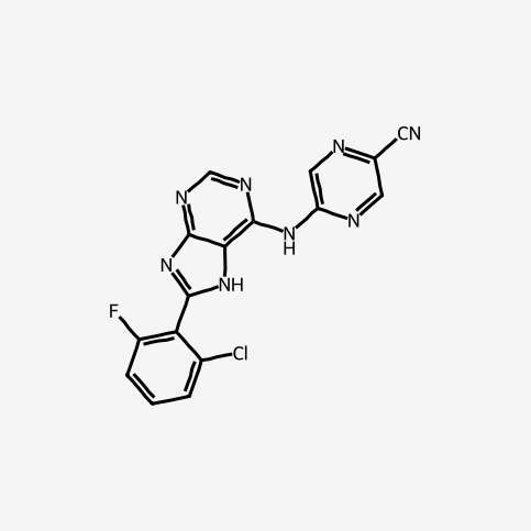 N#Cc1cnc(Nc2ncnc3nc(-c4c(F)cccc4Cl)[nH]c23)cn1